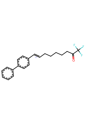 O=C(CCCCC/C=C/c1ccc(-c2ccccc2)cc1)C(F)(F)F